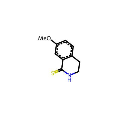 COc1ccc2c(c1)C(=S)NCC2